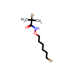 CC(C)(Br)C(=O)NOCCCCCCBr